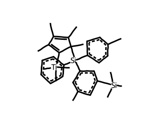 CC1=C(C)C(C)([Si](c2ccccc2)(c2ccc(C)cc2)c2cc(C)cc([Si](C)(C)C)c2)[C]([Ti]([CH3])([CH3])[CH3])=C1C